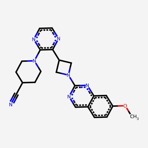 COc1ccc2cnc(N3CC(c4nccnc4N4CCC(C#N)CC4)C3)nc2c1